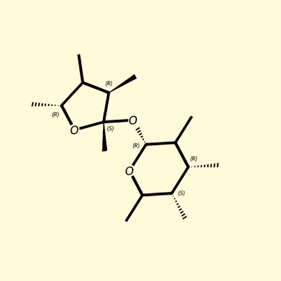 CC1O[C@H](O[C@]2(C)O[C@H](C)C(C)[C@H]2C)C(C)[C@H](C)[C@@H]1C